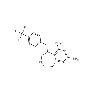 Nc1nc(N)c2c(n1)CCNCC2Cc1ccc(C(F)(F)F)nc1